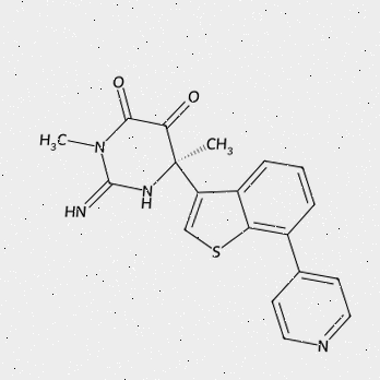 CN1C(=N)N[C@](C)(c2csc3c(-c4ccncc4)cccc23)C(=O)C1=O